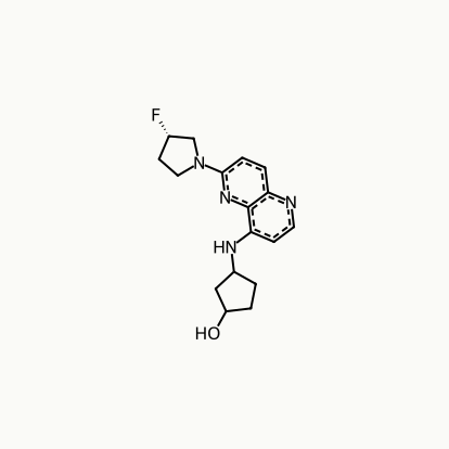 OC1CCC(Nc2ccnc3ccc(N4CC[C@H](F)C4)nc23)C1